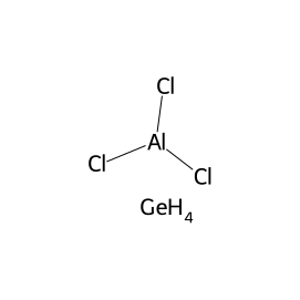 [Cl][Al]([Cl])[Cl].[GeH4]